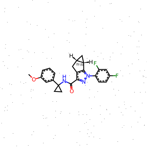 COc1cccc(C2(NC(=O)c3nn(-c4ccc(F)cc4F)c4c3C[C@@H]3C[C@H]43)CC2)c1